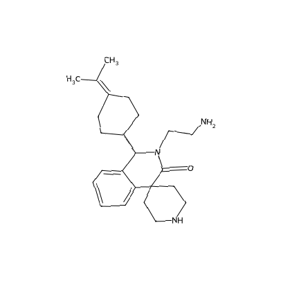 CC(C)=C1CCC(C2c3ccccc3C3(CCNCC3)C(=O)N2CCN)CC1